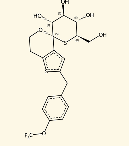 OC[C@H]1S[C@]2(OCCc3sc(Cc4ccc(OC(F)(F)F)cc4)cc32)[C@H](O)[C@@H](O)[C@@H]1O